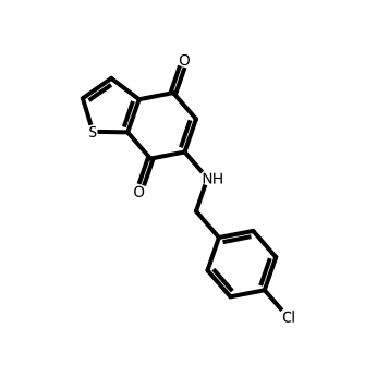 O=C1C=C(NCc2ccc(Cl)cc2)C(=O)c2sccc21